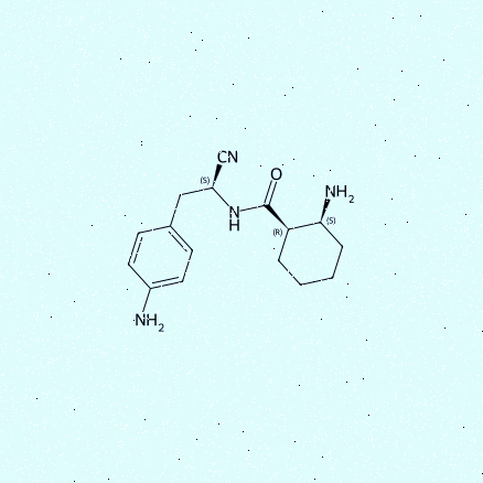 N#C[C@H](Cc1ccc(N)cc1)NC(=O)[C@@H]1CCCC[C@@H]1N